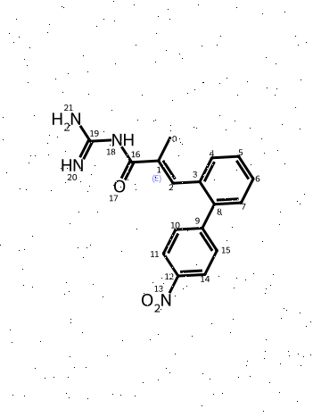 C/C(=C\c1ccccc1-c1ccc([N+](=O)[O-])cc1)C(=O)NC(=N)N